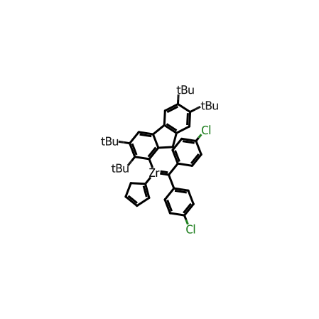 CC(C)(C)c1cc2c(cc1C(C)(C)C)-c1cc(C(C)(C)C)c(C(C)(C)C)[c]([Zr]([C]3=CC=CC3)=[C](c3ccc(Cl)cc3)c3ccc(Cl)cc3)c1C2